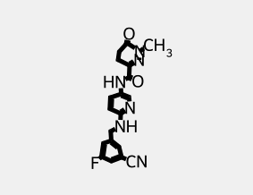 CN1N=C(C(=O)Nc2ccc(NCc3cc(F)cc(C#N)c3)nc2)CCC1=O